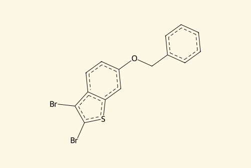 Brc1sc2cc(OCc3ccccc3)ccc2c1Br